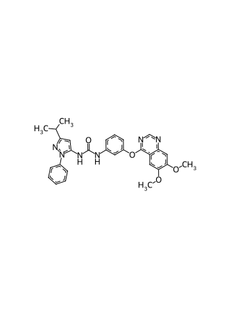 COc1cc2ncnc(Oc3cccc(NC(=O)Nc4cc(C(C)C)nn4-c4ccccc4)c3)c2cc1OC